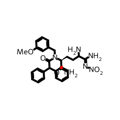 COc1cccc(CN(C(=O)C(c2ccccc2)c2ccccc2)[C@@H](CCC(N)C(N)=N[N+](=O)[O-])C(N)=O)c1